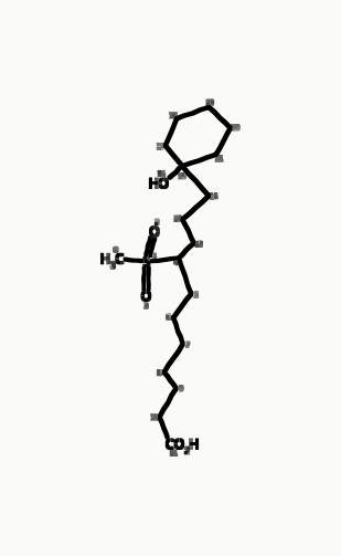 CS(=O)(=O)C(CCCCCCC(=O)O)CCCC1(O)CCCCC1